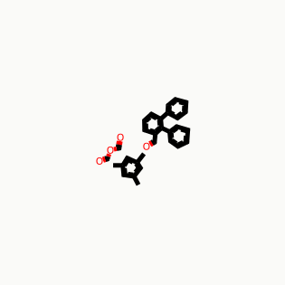 Cc1cc(C)cc(C)c1.O=COC=O.O=Cc1cccc(-c2ccccc2)c1-c1ccccc1